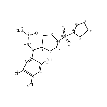 CC(C)(C)[S+]([O-])NC(c1cc(Cl)c(Cl)cc1O)C1CCN(S(=O)(=O)N2CCCC2)CC1